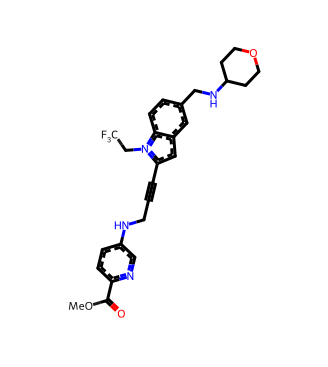 COC(=O)c1ccc(NCC#Cc2cc3cc(CNC4CCOCC4)ccc3n2CC(F)(F)F)cn1